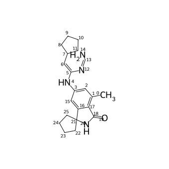 Cc1cc(NC(=C/C2CCCC2)/N=C\N)cc2c1C(=O)NC21CCCC1